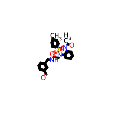 CC(=O)Nc1ccccc1N(CC(=O)NCc1cccc(C=O)c1)S(=O)(=O)c1ccc(C)cc1